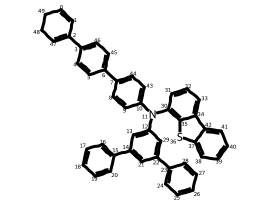 C1=CC(c2ccc(-c3ccc(N(c4cc(-c5ccccc5)cc(-c5ccccc5)c4)c4cccc5c4sc4ccccc45)cc3)cc2)=CCC1